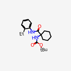 CCc1ccccc1NC(=O)C1(NC(=O)OC(C)(C)C)CCCCC1